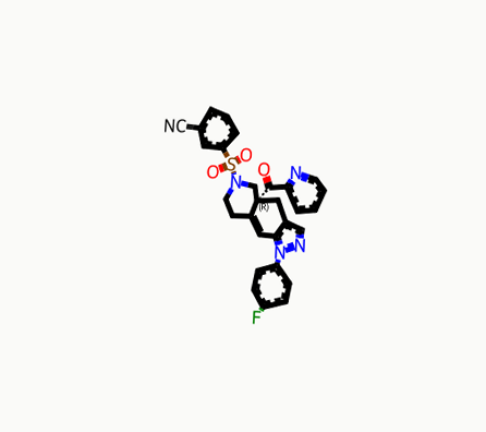 N#Cc1cccc(S(=O)(=O)N2CCC3=Cc4c(cnn4-c4ccc(F)cc4)C[C@]3(C(=O)c3ccccn3)C2)c1